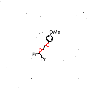 COc1ccc(OCCOC(CC(C)C)C(C)C)cc1